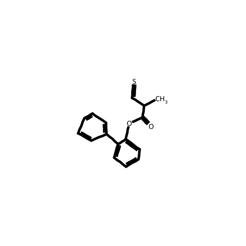 CC(C=S)C(=O)Oc1ccccc1-c1ccccc1